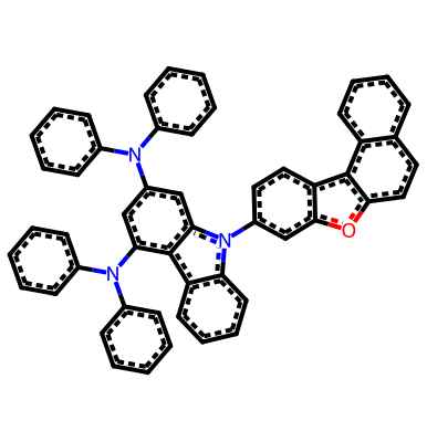 c1ccc(N(c2ccccc2)c2cc(N(c3ccccc3)c3ccccc3)c3c4ccccc4n(-c4ccc5c(c4)oc4ccc6ccccc6c45)c3c2)cc1